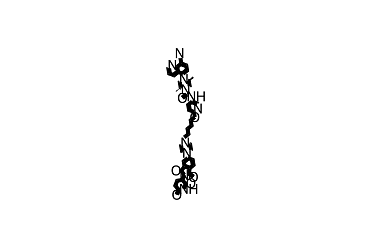 C[C@@H]1CN(c2ccc(C#N)c3ncccc23)[C@@H](C)CN1C(=O)Nc1ccc(OCCCCCN2CCN(c3ccc4c(c3)C(=O)N(C3CCC(=O)NC3=O)C4=O)CC2)nc1